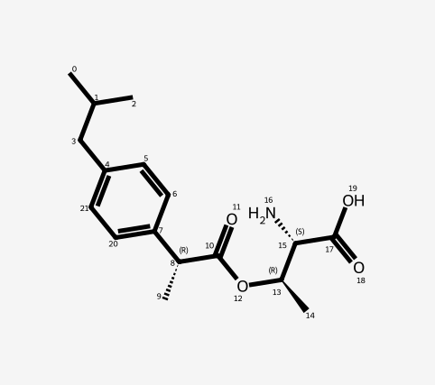 CC(C)Cc1ccc([C@@H](C)C(=O)O[C@H](C)[C@H](N)C(=O)O)cc1